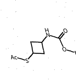 CC(=O)SC1CC(NC(=O)OC(C)(C)C)C1